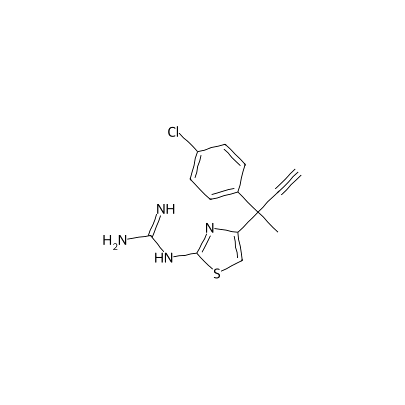 C#CC(C)(c1ccc(Cl)cc1)c1csc(NC(=N)N)n1